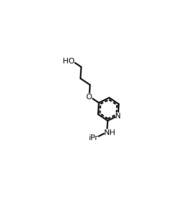 CC(C)Nc1cc(OCCCO)ccn1